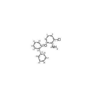 Nc1c(Cl)cccc1Oc1ccccc1-c1ccccc1